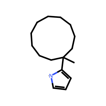 CC1(C2=CC=C[N]2)CCCCCCCCCC1